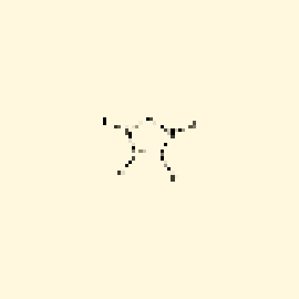 FC1=C(F)N(F)CN1F